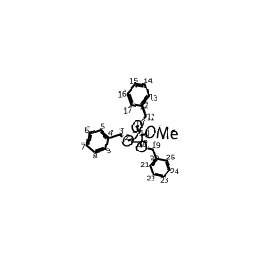 C[O][Zr]([O]Cc1ccccc1)([O]Cc1ccccc1)[O]Cc1ccccc1